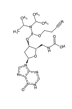 CC(C)N(C(C)C)P(OCCC#N)O[C@@H]1C[C@H](n2cnc3c(=O)[nH]cnc32)O[C@@H]1CNC(=O)O